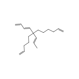 C=CC=CC(C=CC)(CCCC=C)CCCCC=C